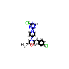 C[C@H]1CN(C2CCN(c3ncnc(Cl)n3)CC2)[C@@H](Cc2ccc(Cl)cc2)CO1